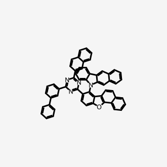 c1ccc(-c2cccc(-c3nc(-c4ccc5ccccc5c4)nc(-c4ccc5oc6c7ccccc7ccc6c5c4-n4c5ccccc5c5cc6ccccc6cc54)n3)c2)cc1